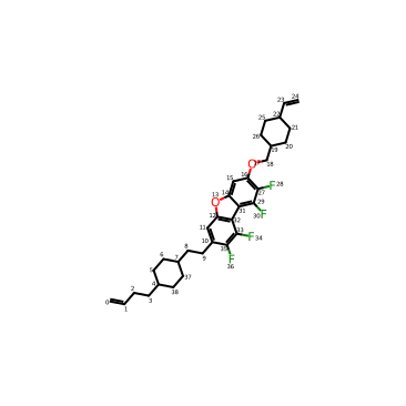 C=CCCC1CCC(CCc2cc3oc4cc(OCC5CCC(C=C)CC5)c(F)c(F)c4c3c(F)c2F)CC1